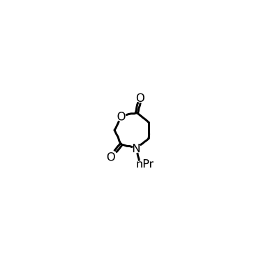 CCCN1CCC(=O)OCC1=O